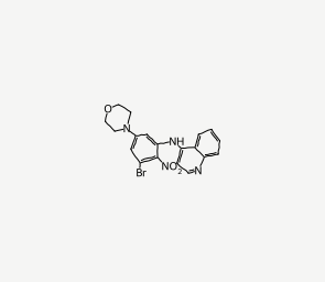 O=[N+]([O-])c1c(Br)cc(N2CCOCC2)cc1Nc1ccnc2ccccc12